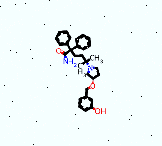 CC(C)(CCC(C(N)=O)(c1ccccc1)c1ccccc1)N1CC[C@@H](OCc2cccc(O)c2)C1